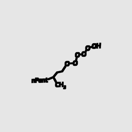 CCCCCC(C)CCOOOOOO